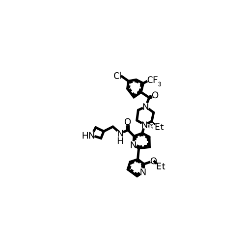 CCOc1ncccc1-c1ccc(N2CCN(C(=O)c3ccc(Cl)cc3C(F)(F)F)C[C@H]2CC)c(C(=O)NCC2CNC2)n1